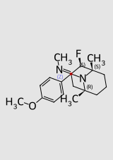 C/N=C1/C[C@@]2(C)CCC[C@@](C)([C@@H]1F)N2Cc1ccc(OC)cc1